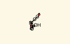 Oc1ccc2c(c1)c(-c1cnn(CCCCOCCCOCc3ccccc3)c1)nn2C1CCCCO1